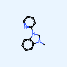 CN1[C]N(c2ccccn2)c2ccccc21